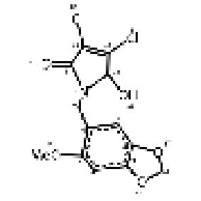 COc1cc2c(cc1CN1C(=O)C(Cl)=C(Cl)C1O)OCO2